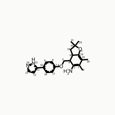 CC1=C(N)C(COc2ccc(-c3ccn[nH]3)cc2)C2CC(C)(C)OC2=C1C